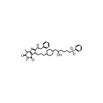 Cn1c(=O)c2c(nc(NCc3ccccc3)n2CCCN2CCN(CC(O)CCCCS(=O)(=O)c3ccccc3)CC2)n(C)c1=O